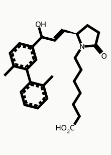 Cc1ccccc1-c1cc(C(O)C=C[C@H]2CCC(=O)N2CCCCCCC(=O)O)ccc1C